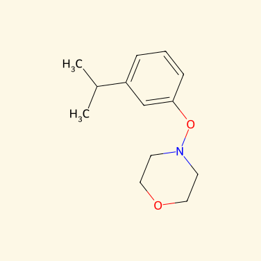 CC(C)c1cccc(ON2CCOCC2)c1